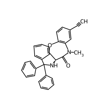 C#Cc1ccc2c(c1)N(C)C(=O)[C@@H](NC(c1ccccc1)(c1ccccc1)c1ccccc1)CO2